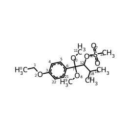 CCOc1ccc(C(OC)(OC)C(OS(C)(=O)=O)C(C)C)cc1